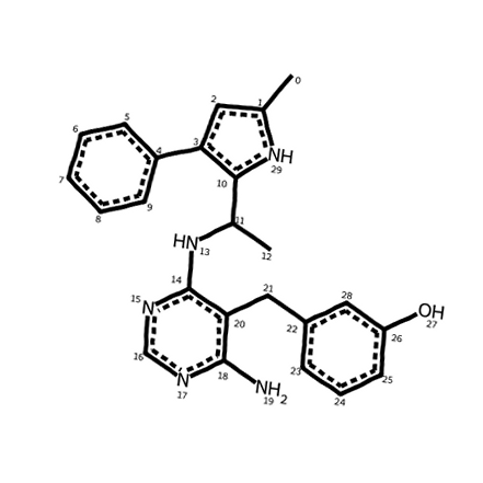 Cc1cc(-c2ccccc2)c(C(C)Nc2ncnc(N)c2Cc2cccc(O)c2)[nH]1